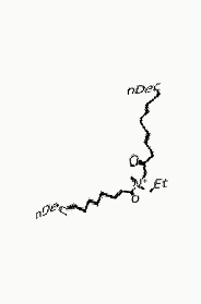 CCC.CCCCCCCCCCCCCCCCCC(=O)C[N+](C)(C)C(=O)CCCCCCCCCCCCCCCCC